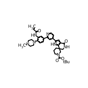 C=CC(=O)Nc1cc(-c2cc(-c3cc4c([nH]3)C3(CCCN(C(=O)OC(C)(C)C)C3)CNC4=O)ccn2)ccc1N1CCN(C)CC1